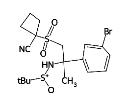 CC(CS(=O)(=O)C1(C#N)CCC1)(N[S+]([O-])C(C)(C)C)c1cccc(Br)c1